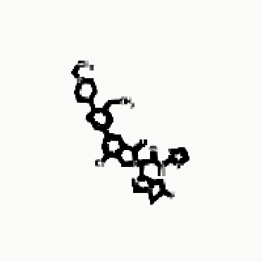 CCc1cc(-c2cc(Cl)c3c(c2)C(=O)N(C(C(=O)Nc2nccs2)c2ncn4c2CC(F)C4)C3)ccc1C1CCN(CC)CC1